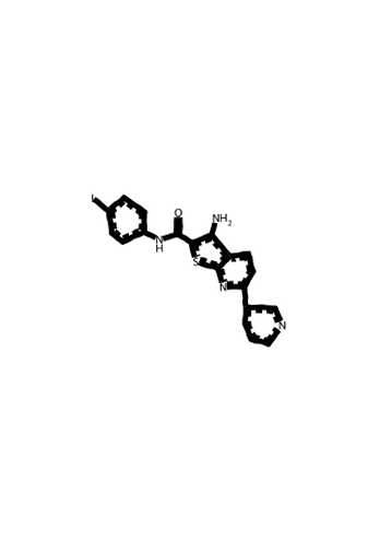 Nc1c(C(=O)Nc2ccc(I)cc2)sc2nc(-c3cccnc3)ccc12